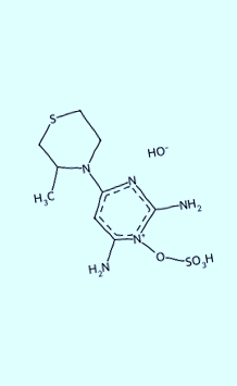 CC1CSCCN1c1cc(N)[n+](OS(=O)(=O)O)c(N)n1.[OH-]